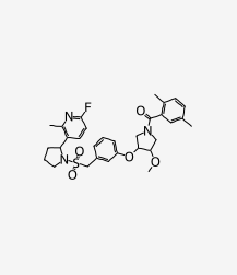 COC1CN(C(=O)c2cc(C)ccc2C)CC1Oc1cccc(CS(=O)(=O)N2CCCC2c2ccc(F)nc2C)c1